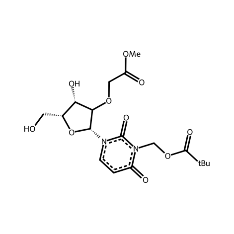 COC(=O)COC1[C@@H](O)[C@@H](CO)O[C@H]1n1ccc(=O)n(COC(=O)C(C)(C)C)c1=O